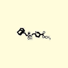 COC(=O)c1ccc(CNS(=O)(=O)CCC23CC4CC(CC(C4)C2)C3)nc1